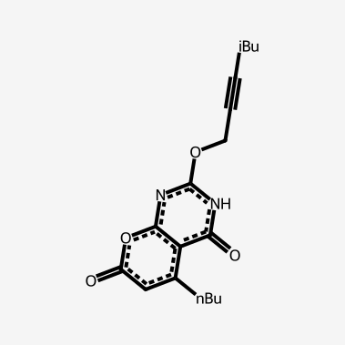 CCCCc1cc(=O)oc2nc(OCC#CC(C)CC)[nH]c(=O)c12